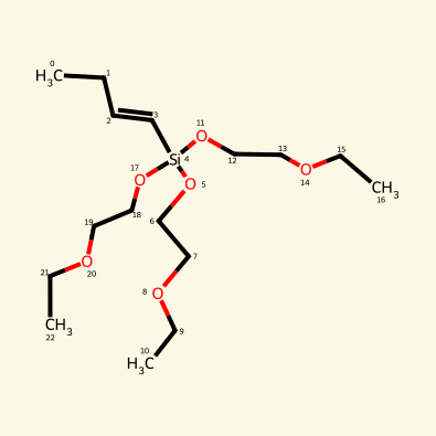 CCC=C[Si](OCCOCC)(OCCOCC)OCCOCC